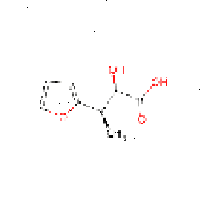 C[C@@H](c1ccco1)[C@@H](O)C(=O)O